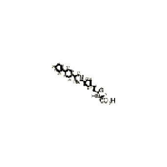 C[C@@H](NC(=O)CCc1ccc(-c2ncc(C3=CCC(c4ccccc4)CC3)cn2)cc1)C(=O)O